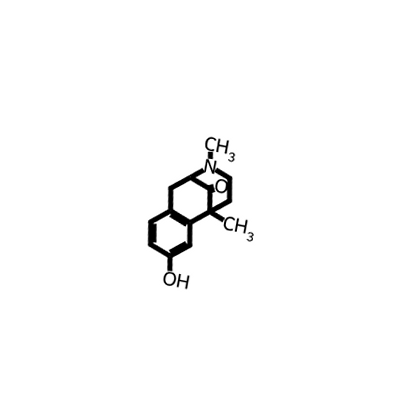 CN1CCC2(C)C(=O)C1Cc1ccc(O)cc12